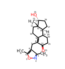 Cc1noc(C)c1CC1=C2CCC3(C)[C@H](O)CC[C@H]3C2CCC1=O